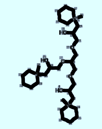 C[N+]1(CC(O)COCC(COCC(O)C[N+]2(C)CCCCC2)OCC(O)C[N+]2(C)CCCCC2)CCCCC1